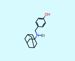 CCN(Cc1ccc(O)cc1)C12CC3CC(CC(C3)C1)C2